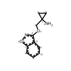 NC1(COc2noc3ccccc23)CC1